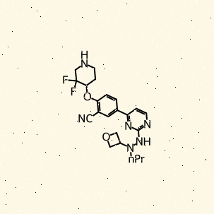 CCCN(Nc1nccc(-c2ccc(OC3CCNCC3(F)F)c(C#N)c2)n1)C1COC1